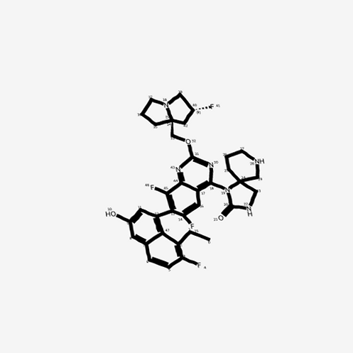 CCc1c(F)ccc2cc(O)cc(-c3c(F)cc4c(N5C(=O)NCC56CCCNC6)nc(OC[C@@]56CCCN5C[C@H](F)C6)nc4c3F)c12